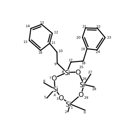 C[Si]1(C)O[Si](C)(C)O[Si](CCc2ccccc2)(CCc2ccccc2)O[Si](C)(C)O1